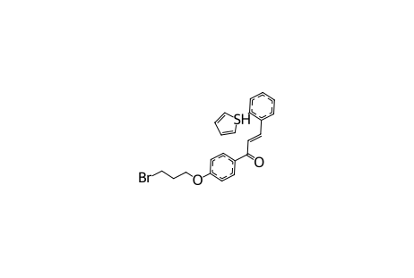 O=C(C=Cc1ccccc1[SH]1C=CC=C1)c1ccc(OCCCBr)cc1